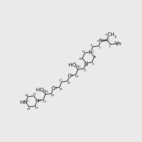 CC(CC(C)C)=NCCN1CCN(CC(O)COCCCOCC(O)CN2CCNCC2)CC1